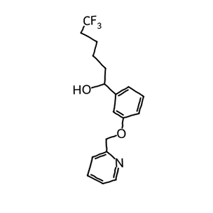 OC(CCCCC(F)(F)F)c1cccc(OCc2ccccn2)c1